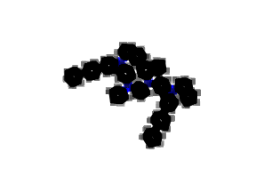 c1ccc(-c2ccc(-c3ccc4c(c3)c3cc(N(c5ccccc5)c5cccc(N(c6ccc7c(c6)c6cc(-c8ccc(-c9ccccc9)cc8)ccc6n7-c6cccc7ccccc67)c6cccc7ccccc67)c5)ccc3n4-c3cccc4ccccc34)cc2)cc1